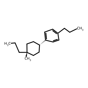 CCCc1ccc([C@H]2CC[C@@](C)(CCC)CC2)cc1